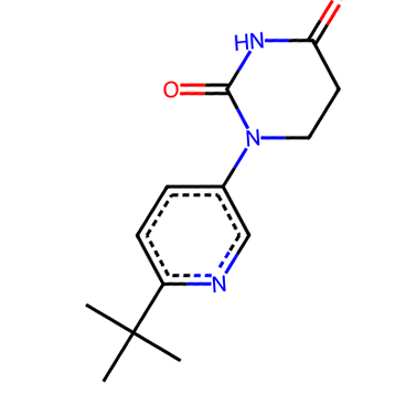 CC(C)(C)c1ccc(N2CCC(=O)NC2=O)cn1